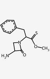 COC(=S)C(Cc1ccccc1)N1CC(N)C1=O